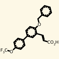 O=C(O)C=Cc1cc(-c2ccc(OC(F)(F)F)cc2)ccc1OCc1ccccc1